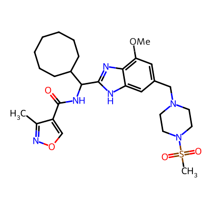 COc1cc(CN2CCN(S(C)(=O)=O)CC2)cc2[nH]c(C(NC(=O)c3conc3C)C3CCCCCCC3)nc12